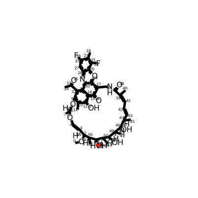 CO[C@H]1/C=C/O[C@@H](C)Oc2c(C)c(O)c3c(=O)c(c4oc5c(F)c(C)c(F)cc5nc-4c3c2C(C)=O)NC(=O)/C(C)=C\C=C\[C@H](C)[C@H](O)[C@@H](C)[C@@H](O)[C@@H](C)[C@H](O)[C@@H]1C